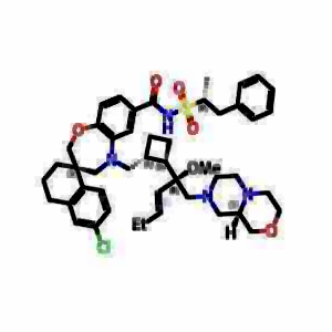 CC/C=C/[C@](CN1CCN2CCOC[C@@H]2C1)(OC)[C@@H]1CC[C@H]1CN1C[C@@]2(CCCc3cc(Cl)ccc32)COc2ccc(C(=O)NS(=O)(=O)[C@H](C)Cc3ccccc3)cc21